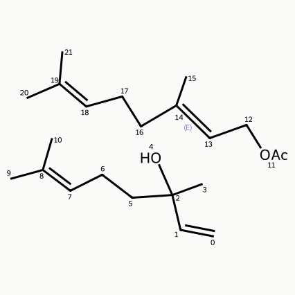 C=CC(C)(O)CCC=C(C)C.CC(=O)OC/C=C(\C)CCC=C(C)C